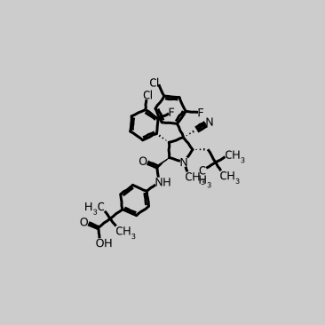 CN1[C@@H](CC(C)(C)C)[C@](C#N)(c2ccc(Cl)cc2F)[C@@H](c2cccc(Cl)c2F)[C@@H]1C(=O)Nc1ccc(C(C)(C)C(=O)O)cc1